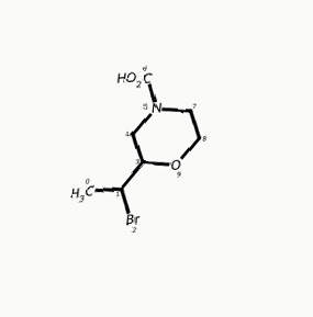 CC(Br)C1CN(C(=O)O)CCO1